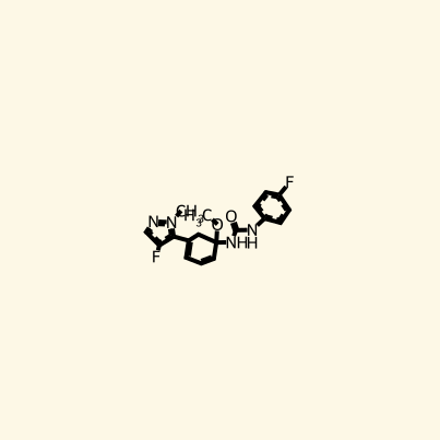 COC1(NC(=O)Nc2ccc(F)cc2)C=CC=C(c2c(F)cnn2C)C1